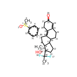 C[S@@+]([O-])c1ccc([C@H]2C[C@@]3(C)C(CC[C@@]3(O)C(F)(F)C(F)(F)F)C3CCC4=CC(=O)CCC4=C32)cc1